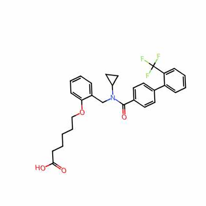 O=C(O)CCCCCOc1ccccc1CN(C(=O)c1ccc(-c2ccccc2C(F)(F)F)cc1)C1CC1